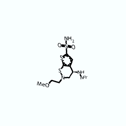 CCCN[C@H]1CN(CCOC)Sc2sc(S(N)(=O)=O)cc21